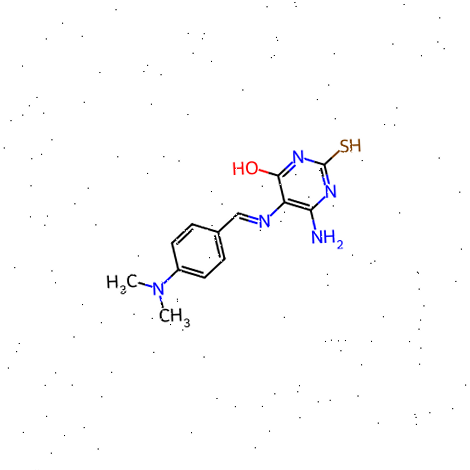 CN(C)c1ccc(C=Nc2c(N)nc(S)nc2O)cc1